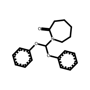 O=C1CCCCCN1C(Oc1ccccc1)Oc1ccccc1